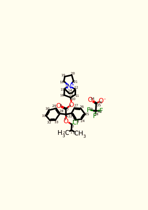 CC(C)C(Cl)OC(C(=O)OC1CC2CCC(C1)[N+]21CCCC1)(c1ccccc1)c1ccccc1.O=C([O-])C(F)(F)F